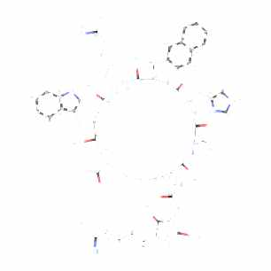 CC(=O)[C@@H]1CSSC[C@H](NC(=O)CN2C(=O)N[C@@H](CCCNC(=N)N)C2=O)C(=O)N[C@H](C)C(=O)N[C@@H](Cc2cnc[nH]2)C(=O)N[C@H](Cc2ccc3ccccc3c2)C(=O)N[C@@H](CCCNC(=N)N)C(=O)N[C@@H](Cc2c[nH]c3ccccc23)C(=O)N1